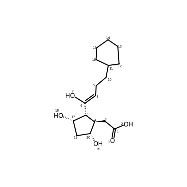 O=C(O)C[C@@H]1[C@@H](C(O)=CCCC2CCCCC2)[C@@H](O)C[C@H]1O